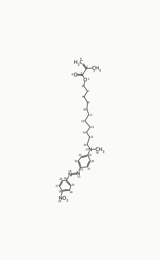 C=C(C)C(=O)OCCCCCCCCCCCN(C)c1ccc(N=Nc2ccc([N+](=O)[O-])cc2)cc1